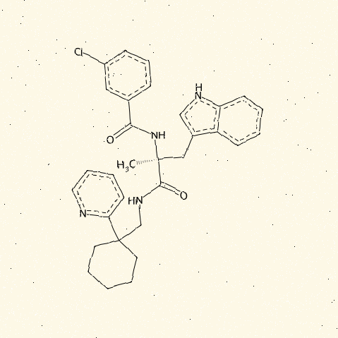 C[C@@](Cc1c[nH]c2ccccc12)(NC(=O)c1cccc(Cl)c1)C(=O)NCC1(c2ccccn2)CCCCC1